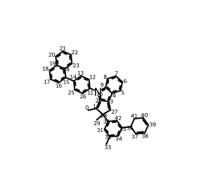 CC1=c2c(c3ccccc3n2-c2ccc(-c3cccc4ccccc34)cc2)=CC1(C)c1cc(C)cc(C2C=CC=CC2)c1